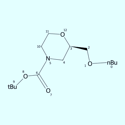 CCCCOC[C@H]1CN(C(=O)OC(C)(C)C)CCO1